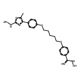 CCCNc1nc(-c2ccc(OCCCCCOc3ccc(C(=N)NO)cc3)cc2)c(C)s1